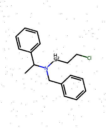 CC(c1ccccc1)N(Cc1ccccc1)[SiH2]CCCl